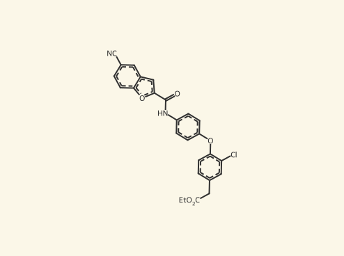 CCOC(=O)Cc1ccc(Oc2ccc(NC(=O)c3cc4cc(C#N)ccc4o3)cc2)c(Cl)c1